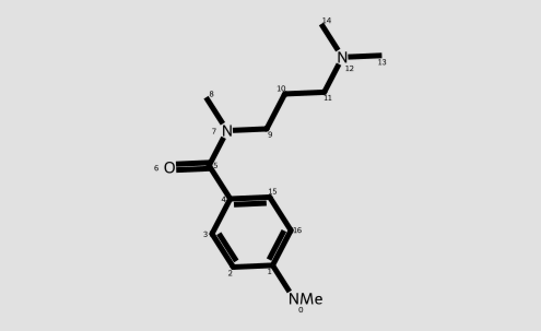 CNc1ccc(C(=O)N(C)CCCN(C)C)cc1